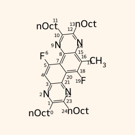 CCCCCCCCc1nc2cc(F)c3c4nc(CCCCCCCC)c(CCCCCCCC)nc4c(C)c(F)c3c2nc1CCCCCCCC